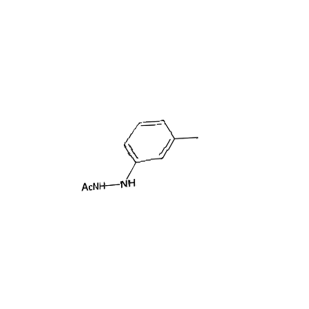 CC(=O)NNc1cccc(C)c1